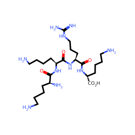 N=C(N)NCCC[C@H](NC(=O)[C@H](CCCCN)NC(=O)[C@@H](N)CCCCN)C(=O)N[C@@H](CCCCN)C(=O)O